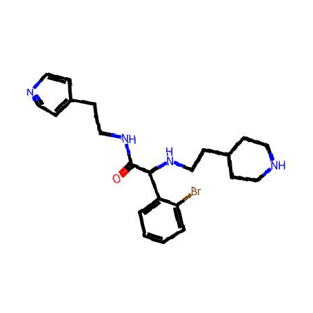 O=C(NCCc1ccncc1)C(NCCC1CCNCC1)c1ccccc1Br